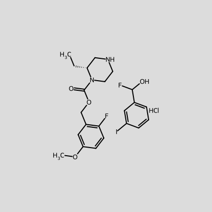 CC[C@@H]1CNCCN1C(=O)OCc1cc(OC)ccc1F.Cl.OC(F)c1cccc(I)c1